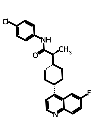 C[C@H](C(=O)Nc1ccc(Cl)cc1)[C@H]1CC[C@@H](c2ccnc3ccc(F)cc32)CC1